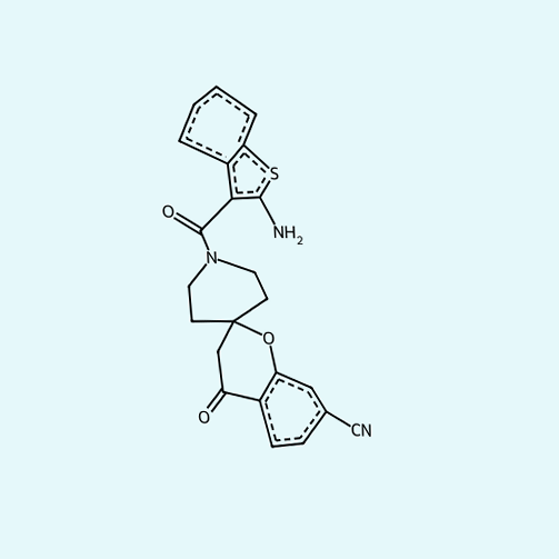 N#Cc1ccc2c(c1)OC1(CCN(C(=O)c3c(N)sc4ccccc34)CC1)CC2=O